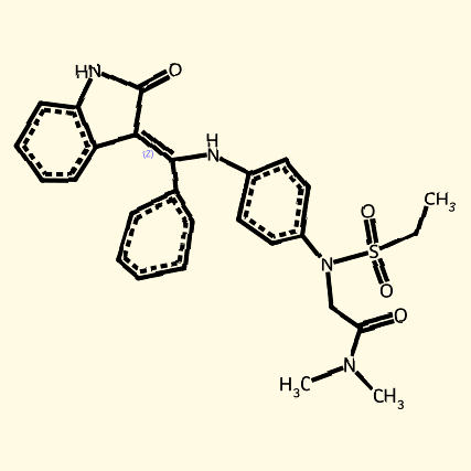 CCS(=O)(=O)N(CC(=O)N(C)C)c1ccc(N/C(=C2\C(=O)Nc3ccccc32)c2ccccc2)cc1